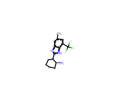 Cc1cc(C(F)(F)F)c2[nH]c(C3CCCC[C@@H]3N)nc2c1